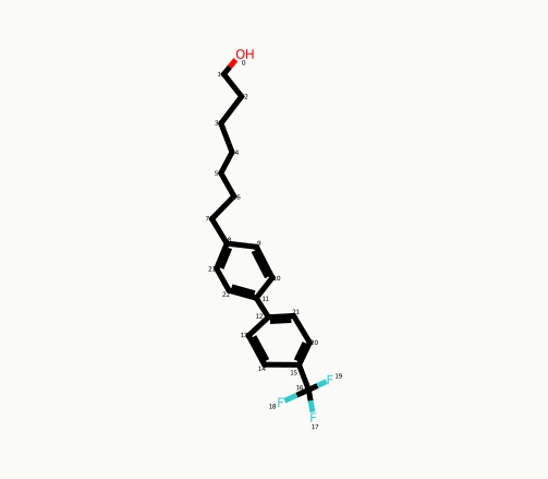 OCCCCCCCc1ccc(-c2ccc(C(F)(F)F)cc2)cc1